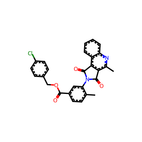 Cc1ccc(C(=O)OCc2ccc(Cl)cc2)cc1N1C(=O)c2c(C)nc3ccccc3c2C1=O